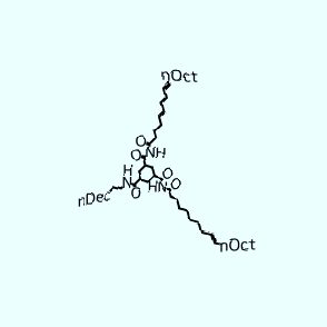 CCCCCCCCC=CCCCCCCCC(=O)NC(=O)C1CC(C(=O)NCCCCCCCCCCCC)CC(C(=O)NC(=O)CCCCCCCC=CCCCCCCCC)C1